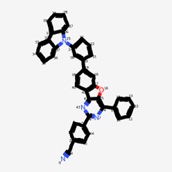 N#Cc1ccc(-c2nc(-c3ccccc3)c3oc4cc(-c5cccc(-n6c7ccccc7c7ccccc76)c5)ccc4c3n2)cc1